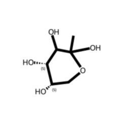 CC1(O)OC[C@H](O)[C@H](O)C1O